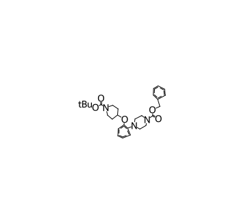 CC(C)(C)OC(=O)N1CCC(Oc2ccccc2N2CCN(C(=O)OCc3ccccc3)CC2)CC1